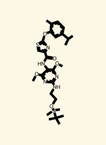 COc1nc(NCCO[Si](C)(C)C(C)(C)C)nc(OC)c1NC(=O)c1csc(Oc2cc(C(C)C)ccc2C)n1